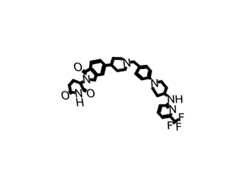 O=C1CCC(N2Cc3cc(C4CCN(Cc5ccc(N6CCC(Nc7cccc(C(F)(F)F)n7)CC6)cc5)CC4)ccc3C2=O)C(=O)N1